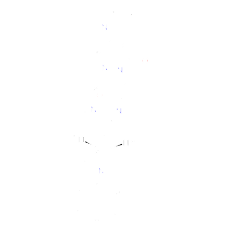 O=c1c2cccnc2cnn1Cc1nc([C@@H]2[C@@H]3CN(c4ccccc4)C[C@@H]32)no1